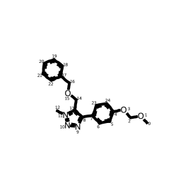 COCOc1ccc(-c2nnn(C)c2COCc2ccccc2)cc1